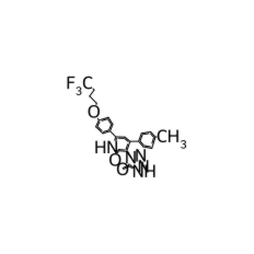 Cc1ccc(-c2cc(-c3ccc(OCCCC(F)(F)F)cc3)[nH]c(=O)c2-n2nn[nH]c2=O)cc1